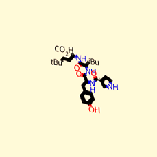 CCC(C)C(NC(=O)C(Cc1ccc(O)cc1)NC(=O)[C@H]1CCNC1)C(=O)NC(CCC(C)(C)C)C(=O)O